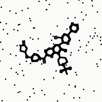 CS(=O)(=O)N1CCC(n2c(=O)c(-c3ncc(-c4ccnnc4)cc3Cl)cc3cnc(Nc4ccc(OC5CCNC5)cc4)nc32)CC1